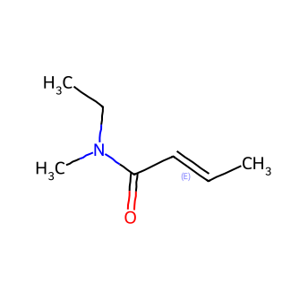 C/C=C/C(=O)N(C)CC